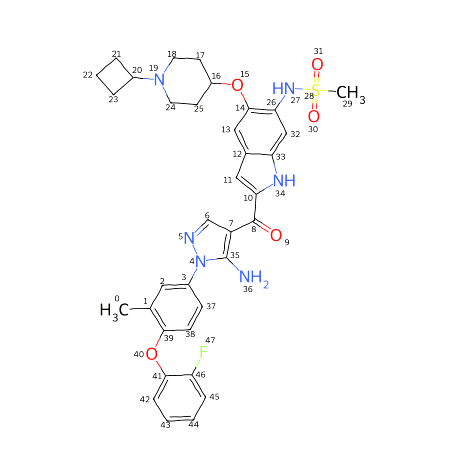 Cc1cc(-n2ncc(C(=O)c3cc4cc(OC5CCN(C6CCC6)CC5)c(NS(C)(=O)=O)cc4[nH]3)c2N)ccc1Oc1ccccc1F